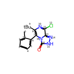 Cc1ccccc1-c1c(C(C)(C)C)nc(Cl)c2n[nH]c(=O)n12